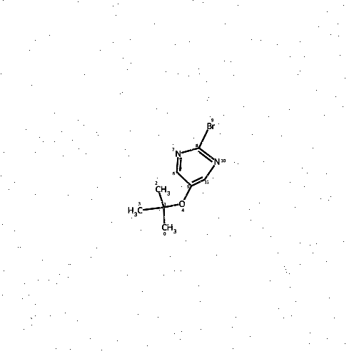 CC(C)(C)Oc1cnc(Br)nc1